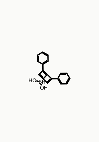 OBO.c1ccc(-c2cc3cc(-c4ccccc4)c2-3)cc1